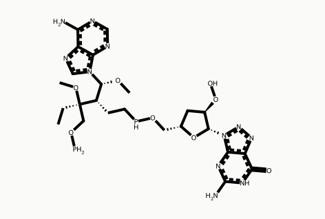 CC[C@](COP)(OC)[C@@H](CCPOC[C@@H]1C[C@@H](OO)[C@H](n2nnc3c(=O)[nH]c(N)nc32)O1)[C@@H](OC)n1cnc2c(N)ncnc21